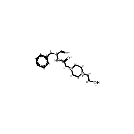 O=[C][C@H](Cc1ccccc1)NC(=O)CN1CCN(CCO)CC1